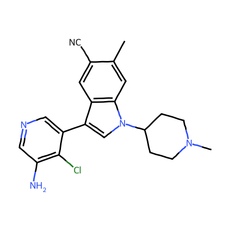 Cc1cc2c(cc1C#N)c(-c1cncc(N)c1Cl)cn2C1CCN(C)CC1